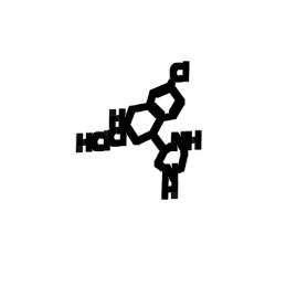 Cl.Cl.Clc1ccc2c(c1)CCCC2C1CNCCN1